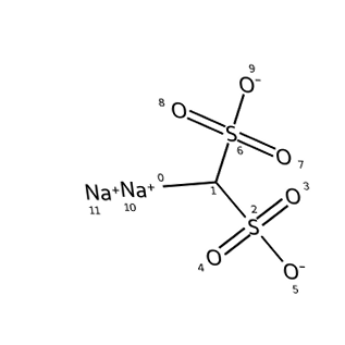 CC(S(=O)(=O)[O-])S(=O)(=O)[O-].[Na+].[Na+]